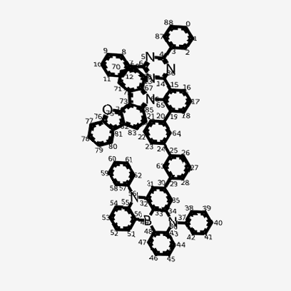 c1ccc(-c2nc(-c3ccccc3)nc(-c3cccc(-c4cccc(-c5cccc(-c6cc7c8c(c6)N(c6ccccc6)c6ccccc6B8c6ccccc6N7c6ccccc6)c5)c4)c3-n3c4ccccc4c4c5oc6ccccc6c5ccc43)n2)cc1